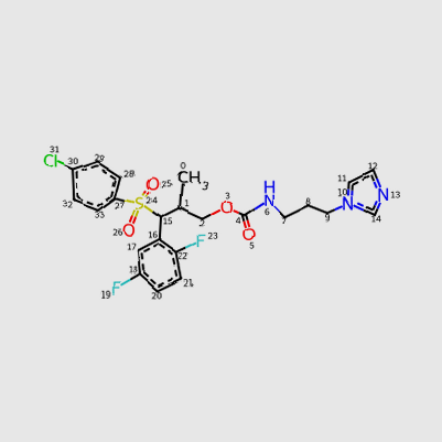 CC(COC(=O)NCCCn1ccnc1)C(c1cc(F)ccc1F)S(=O)(=O)c1ccc(Cl)cc1